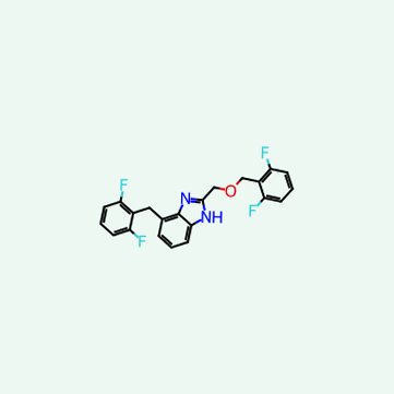 Fc1cccc(F)c1COCc1nc2c(Cc3c(F)cccc3F)cccc2[nH]1